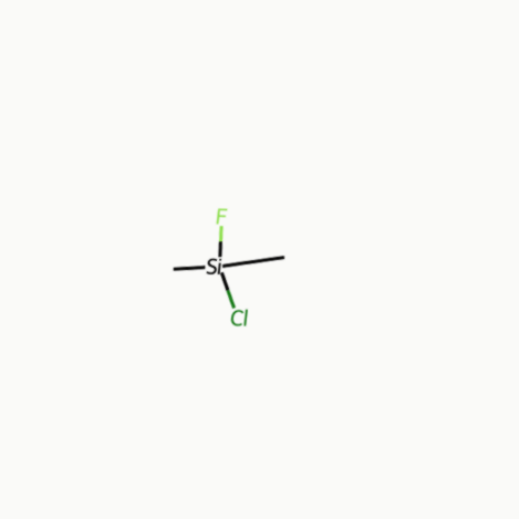 C[Si](C)(F)Cl